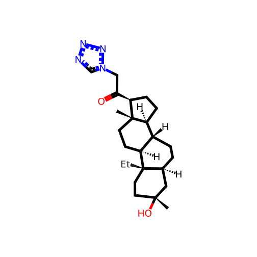 CC[C@]12CC[C@@](C)(O)C[C@@H]1CC[C@H]1[C@@H]3CC[C@H](C(=O)Cn4cnnn4)[C@@]3(C)CC[C@@H]12